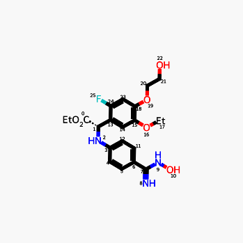 CCOC(=O)[C@@H](Nc1ccc(C(=N)NO)cc1)c1cc(OCC)c(OCCO)cc1F